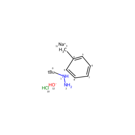 CC(C)(C)NN.Cc1ccccc1.Cl.[Na+].[OH-]